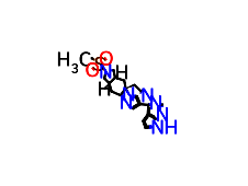 CCS(=O)(=O)N1C[C@H]2CC[C@@](CC#N)(n3cc(-c4ncnc5[nH]ccc45)cn3)C[C@H]2C1